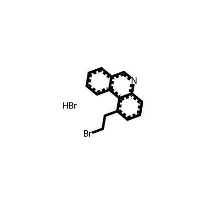 Br.BrCCc1cccc2ncc3ccccc3c12